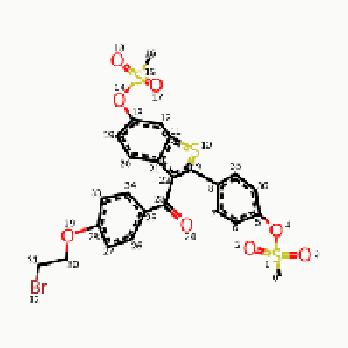 CS(=O)(=O)Oc1ccc(-c2sc3cc(OS(C)(=O)=O)ccc3c2C(=O)c2ccc(OCCBr)cc2)cc1